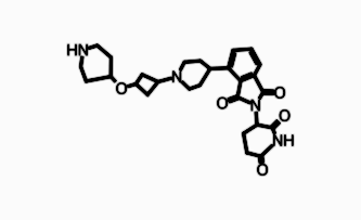 O=C1CCC(N2C(=O)c3cccc(C4CCN(C5CC(OC6CCNCC6)C5)CC4)c3C2=O)C(=O)N1